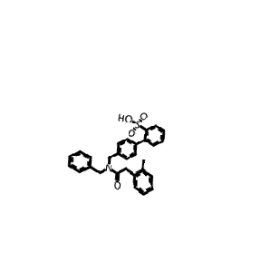 Cc1ccccc1CC(=O)N(Cc1ccccc1)Cc1ccc(-c2ccccc2S(=O)(=O)O)cc1